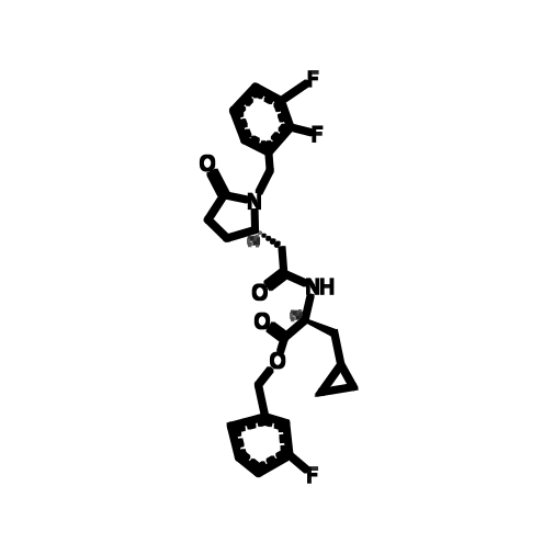 O=C(C[C@@H]1CCC(=O)N1Cc1cccc(F)c1F)N[C@@H](CC1CC1)C(=O)OCc1cccc(F)c1